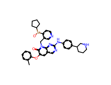 Cc1ccccc1Oc1cc2cnc(Nc3ccc(C4CCCNC4)cc3)nc2n(Cc2cnccc2[S+]([O-])C2CCCC2)c1=O